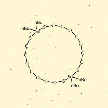 CCC[CH2][Sn]1([CH2]CCC)[S]CCOCOCC[S][Sn]([CH2]CCC)([CH2]CCC)[S]CCOCOCC[S]1